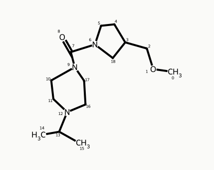 COCC1CCN(C(=O)N2CCN(C(C)C)CC2)C1